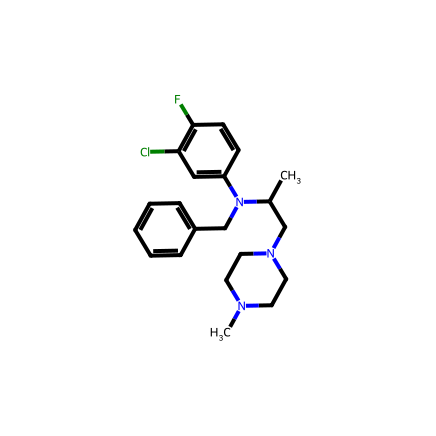 CC(CN1CCN(C)CC1)N(Cc1ccccc1)c1ccc(F)c(Cl)c1